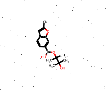 CC(C)(O)C(C)(C)OB(O)c1ccc2cc(C#N)oc2c1